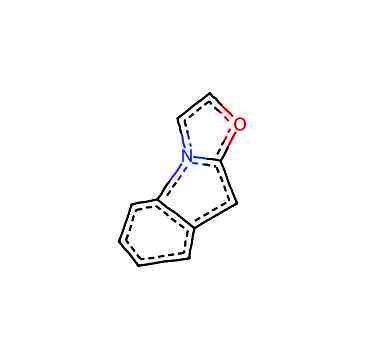 c1ccc2c(c1)cc1occn12